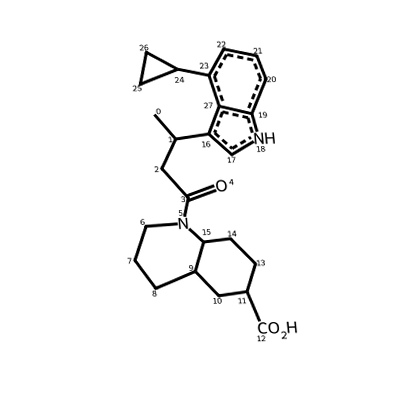 CC(CC(=O)N1CCCC2CC(C(=O)O)CCC21)c1c[nH]c2cccc(C3CC3)c12